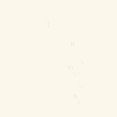 Cn1cnc(C(=O)NNc2nccc3nc(-c4ccc(C5(NC(=O)O)CCC5)cc4)c(-c4ccccc4)cc23)c1